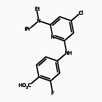 CCN(c1cc(Cl)cc(Nc2ccc(C(=O)O)c(F)c2)n1)C(C)C